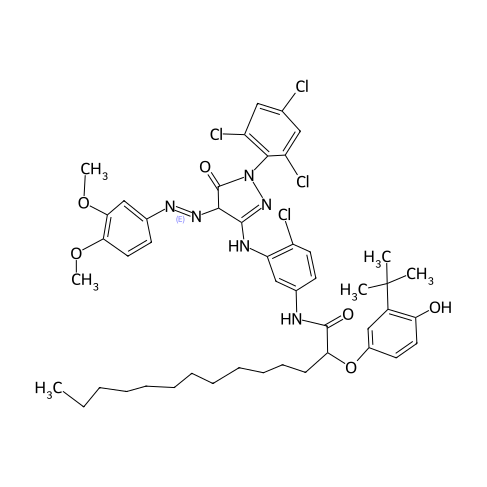 CCCCCCCCCCCCC(Oc1ccc(O)c(C(C)(C)C)c1)C(=O)Nc1ccc(Cl)c(NC2=NN(c3c(Cl)cc(Cl)cc3Cl)C(=O)C2/N=N/c2ccc(OC)c(OC)c2)c1